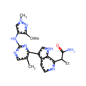 CCC(C(N)=O)c1nccc2c(-c3nc(Nc4cn(C)nc4OC)ncc3C)c[nH]c12